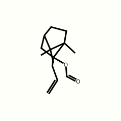 C=CCC1(O[C]=O)CC2CCC1(C)C2(C)C